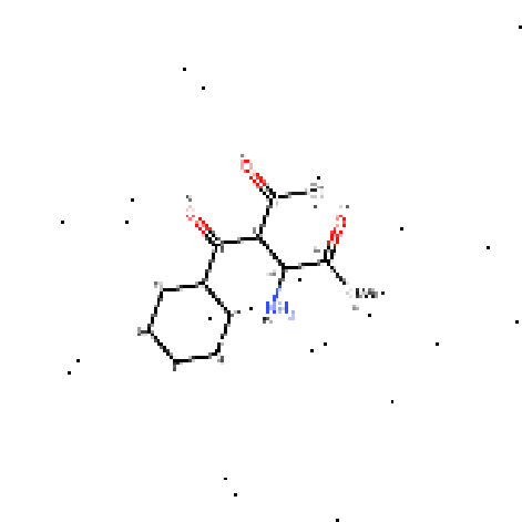 CCC(=O)C(C(=O)C1CCCCC1)C(N)C(=O)OC